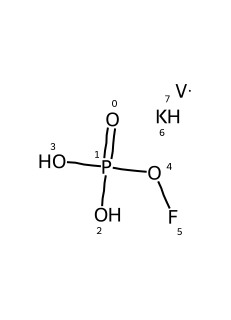 O=P(O)(O)OF.[KH].[V]